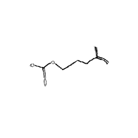 C=C(C)CCCOC([O])=O